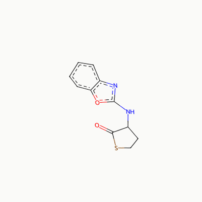 O=C1SCCC1Nc1nc2ccccc2o1